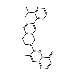 Cc1cc2nccc(=O)n2nc1N1CCc2ncc(-c3cccnc3C(C)C)cc2C1